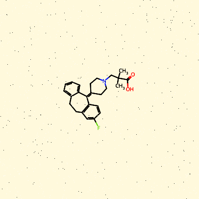 CC(C)(CN1CCC(=C2c3ccccc3CCc3cc(F)ccc32)CC1)C(=O)O